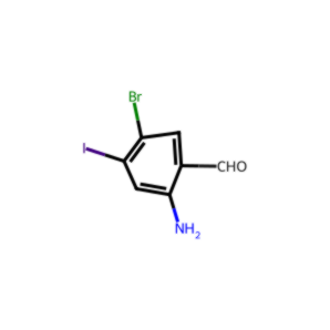 Nc1cc(I)c(Br)cc1C=O